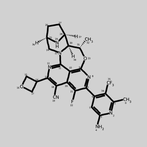 Cc1nc(N)cc(-c2nc3c4c(nc(C5COC5)c(C#N)c4c2F)N2C[C@H]4CC[C@H](N4)[C@H]2[C@H](C)O3)c1C(F)(F)F